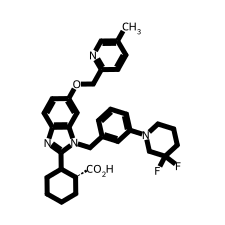 Cc1ccc(COc2ccc3nc(C4CCCC[C@H]4C(=O)O)n(Cc4cccc(N5CCCC(F)(F)C5)c4)c3c2)nc1